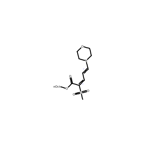 CCCCCCCCOC(=O)/C(=C\C=C\N1CCOCC1)S(C)(=O)=O